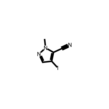 Cn1ncc(I)c1C#N